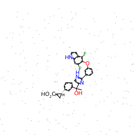 CC(O)(c1cccc([C@@H]2C[C@H]2C(=O)O)c1)c1c[nH]c(-c2cccc(Oc3c(F)cc4[nH]ccc4c3F)c2)n1